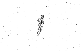 CCOc1ccc(C(=O)Oc2ccc(-c3ccc(C4CCC(CC)CC4)c(F)c3F)cc2)c(F)c1